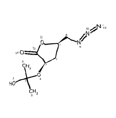 CC(C)(O)O[C@@H]1C[C@H](CN=[N+]=[N-])OC1=O